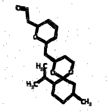 CC1CCC(C(C)C)C2(C1)OCCC(CC1CC=CC(CC=O)O1)O2